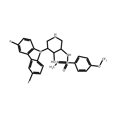 CN=S(=O)(NC1CNCC(n2c3ccc(F)cc3c3cc(F)ccc32)C1O)c1ccc(OC(F)(F)F)cc1